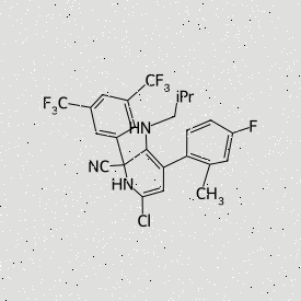 Cc1cc(F)ccc1C1=C(NCC(C)C)C(C#N)(c2cc(C(F)(F)F)cc(C(F)(F)F)c2)NC(Cl)=C1